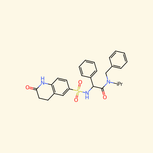 CC(C)N(Cc1ccccc1)C(=O)C(NS(=O)(=O)c1ccc2c(c1)CCC(=O)N2)c1ccccc1